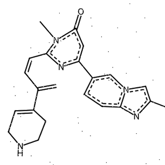 C=C(/C=C\c1nc(-c2ccc3nc(C)cn3c2)cc(=O)n1C)C1=CCNCC1